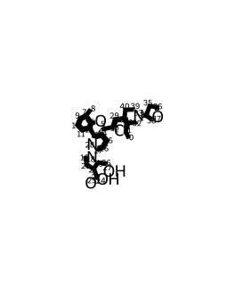 Cc1cc(COc2c(C)cccc2-c2cccc(N3CCC(C(=O)O)C3CO)n2)cc2c1CN(C1CCOC1)CC2